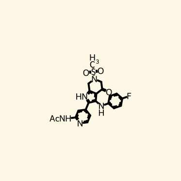 CC(=O)Nc1cc(-c2[nH]c3c(c2Nc2ccc(F)cc2)C(=O)CN(S(C)(=O)=O)C3)ccn1